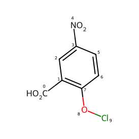 O=C(O)c1cc([N+](=O)[O-])ccc1OCl